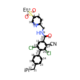 CCS(=O)(=O)c1ccc(CNC(=O)c2cc(Cl)c(-c3ccc(CC(C)C)cc3)c(Cl)c2C#N)nc1